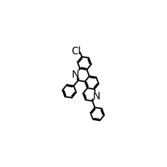 Clc1ccc2c(c1)nc(-c1ccccc1)c1c3ccc(-c4ccccc4)nc3ccc21